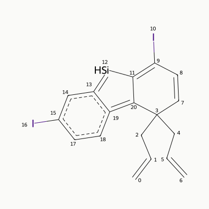 C=CCC1(CC=C)C=CC(I)=C2[SiH]=c3cc(I)ccc3=C21